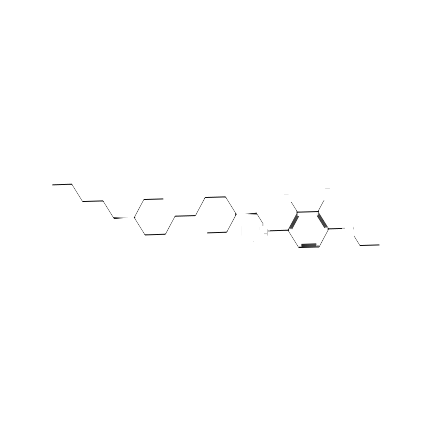 CCCCC[C@H]1CC[C@H]([C@H]2CC[C@H](C[SiH2]c3ccc(OCC)c(F)c3F)CC2)CC1